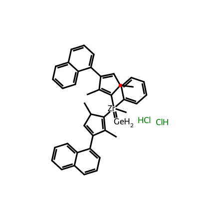 CC1=[C]([Zr]([CH3])(=[GeH2])([C]2=C(C)C(c3cccc4ccccc34)=CC2C)[c]2ccccc2)C(C)C=C1c1cccc2ccccc12.Cl.Cl